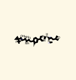 C/C=N\C(=C/CC1COC1)Nc1ncc(-c2ccc(CC(=O)C(=N)C(=N)/C=C(\O)C3(C(C)(F)F)CC3)c(F)c2)cn1